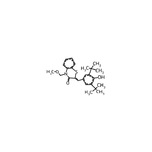 COCN1C(=O)C(=Cc2cc(C(C)(C)C)c(O)c(C(C)(C)C)c2)Sc2ccccc21